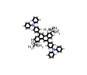 C[Si](C)(C)c1ccc2c(-c3ccc(N(c4ccccc4)c4ccccc4)cc3)cc3c4cc([Si](C)(C)C)ccc4c(-c4ccc(N(c5ccccc5)c5ccccc5)cc4)cc3c2c1